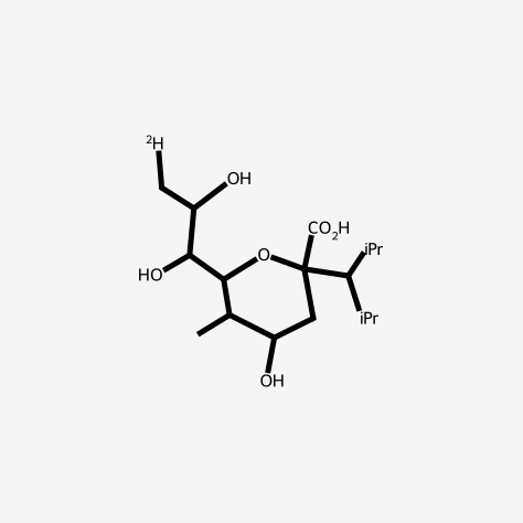 [2H]CC(O)C(O)C1OC(C(=O)O)(C(C(C)C)C(C)C)CC(O)C1C